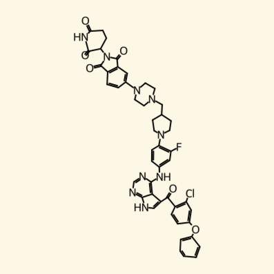 O=C1CCC(N2C(=O)c3ccc(N4CCN(CC5CCN(c6ccc(Nc7ncnc8[nH]cc(C(=O)c9ccc(Oc%10ccccc%10)cc9Cl)c78)cc6F)CC5)CC4)cc3C2=O)C(=O)N1